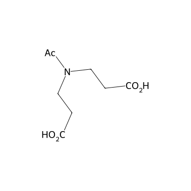 CC(=O)N(CCC(=O)O)CCC(=O)O